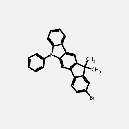 CC1(C)c2cc(Br)ccc2-c2cc3c(cc21)c1ccccc1n3-c1ccccc1